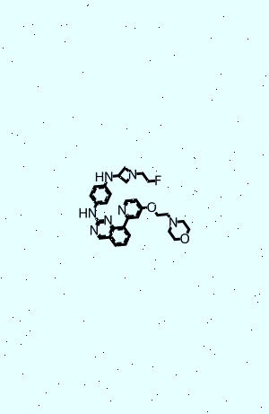 FCCN1CC(Nc2ccc(Nc3ncc4cccc(-c5cc(OCCN6CCOCC6)ccn5)c4n3)cc2)C1